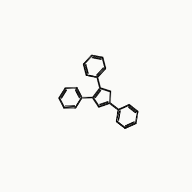 C1=C(c2ccccc2)CC(c2ccccc2)=C1c1ccccc1